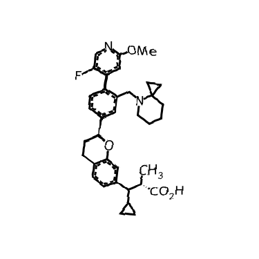 COc1cc(-c2ccc([C@@H]3CCc4ccc(C(C5CC5)[C@H](C)C(=O)O)cc4O3)cc2CN2CCCCC23CC3)c(F)cn1